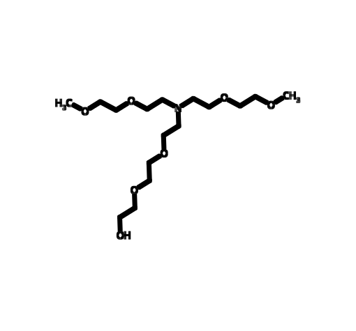 COCCOCCN(CCOCCOC)CCOCCOCCO